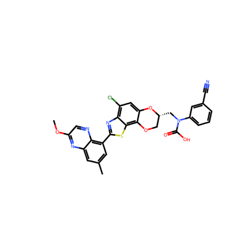 COc1cnc2c(-c3nc4c(Cl)cc5c(c4s3)OC[C@@H](CN(C(=O)O)c3cccc(C#N)c3)O5)cc(C)cc2n1